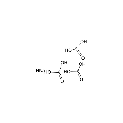 O=S(O)O.O=S(O)O.O=S(O)O.[NaH]